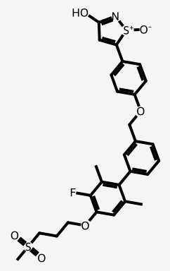 Cc1cc(OCCCS(C)(=O)=O)c(F)c(C)c1-c1cccc(COc2ccc(-c3cc(O)n[s+]3[O-])cc2)c1